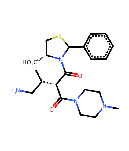 CC(CN)[C@@H](C(=O)N1CCN(C)CC1)C(=O)N1C(c2ccccc2)SC[C@H]1C(=O)O